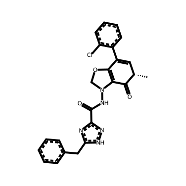 C[C@H]1C=C(c2ccccc2Cl)C2=C(C1=O)N(NC(=O)c1n[nH]c(Cc3ccccc3)n1)CO2